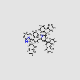 c1ccc2cc(-c3nc4ccccn4c3-c3ccc(-c4cc(-c5cc6ccccc6c6ccccc56)cc(-c5cc6ccccc6c6ccccc56)n4)c4ccccc34)ccc2c1